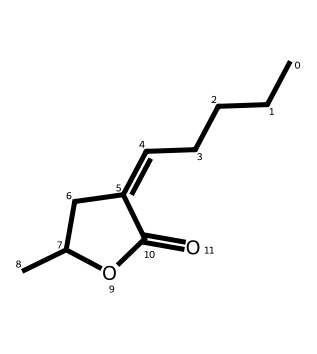 CCCCC=C1CC(C)OC1=O